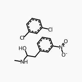 CNC(O)Cc1cccc([N+](=O)[O-])c1.Clc1cccc(Cl)c1